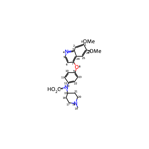 COc1cc2nccc(Oc3ccc(N(C(=O)O)C4CCN(C)CC4)cc3)c2cc1OC